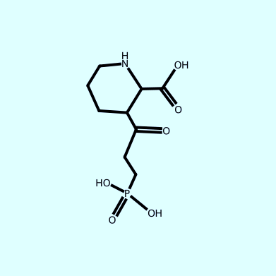 O=C(CCP(=O)(O)O)C1CCCNC1C(=O)O